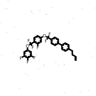 C=CCCc1ccc(-c2ccc(C(F)(F)Oc3ccc(C(F)(F)Oc4cc(F)c(F)c(F)c4)c(F)c3)cc2)cc1